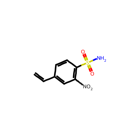 C=Cc1ccc(S(N)(=O)=O)c([N+](=O)[O-])c1